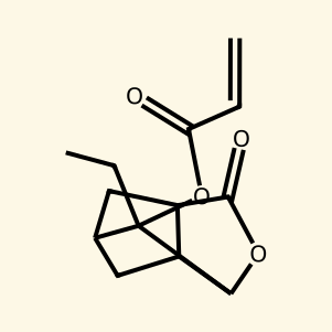 C=CC(=O)OC1(CC)C2CC3C(=O)OC1C3C2